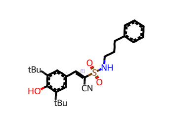 CC(C)(C)c1cc(/C=C(\C#N)S(=O)(=O)NCCCc2ccccc2)cc(C(C)(C)C)c1O